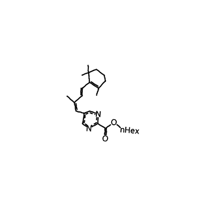 CCCCCCOC(=O)c1ncc(C=C(C)C=CC2=C(C)CCCC2(C)C)cn1